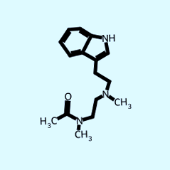 CC(=O)N(C)CCN(C)CCc1c[nH]c2ccccc12